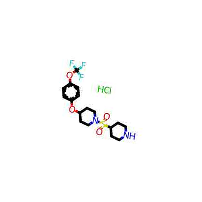 Cl.O=S(=O)(C1CCNCC1)N1CCC(Oc2ccc(OC(F)(F)F)cc2)CC1